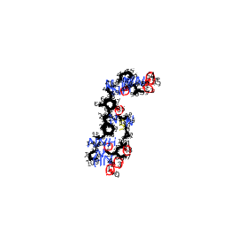 COC(=O)NC(C(=O)N1CCC[C@H]1c1ncc(-c2ccc3c(c2)cc2n3C(c3cnc(C4CC4)s3)Oc3cc(-c4cnc([C@@H]5CCCN5C(=O)[C@@H](NC(=O)OC)C(C)C)[nH]4)cc(C)c3-2)[nH]1)C1CCOC(C)(C)C1